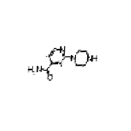 NC(=O)c1[c]cnc(N2CCNCC2)n1